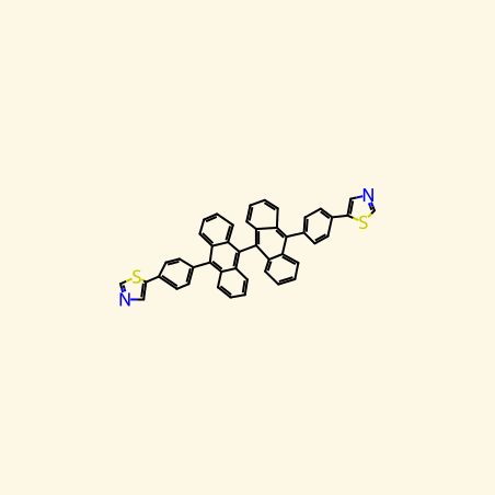 c1ccc2c(-c3c4ccccc4c(-c4ccc(-c5cncs5)cc4)c4ccccc34)c3ccccc3c(-c3ccc(-c4cncs4)cc3)c2c1